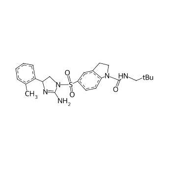 Cc1ccccc1C1CN(S(=O)(=O)c2ccc3c(c2)CCN3C(=O)NCC(C)(C)C)C(N)=N1